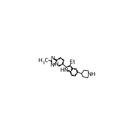 CCc1c(-c2ccc3nc(C)nn3c2)[nH]c2ccc(C3CCNCC3)cc12